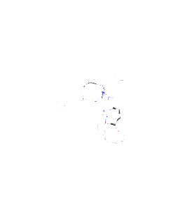 CCC(c1ccc2c(n1)OCCO2)N1CCCC(CO)C1